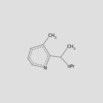 CCCC(C)c1ncccc1C